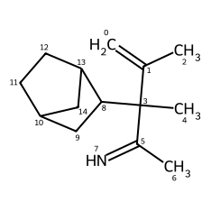 C=C(C)C(C)(C(C)=N)C1CC2CCC1C2